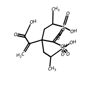 C=C(C(=O)O)C(CC(C)S(=O)(=O)O)(CC(C)S(=O)(=O)O)C(=O)O